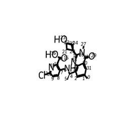 Cc1cc([C@@H](C)Nc2ccc(Cl)nc2C(=O)O)c2nc(C34CC(O)(C3)C4)n(C)c(=O)c2c1